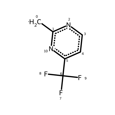 [CH2]c1nccc(C(F)(F)F)n1